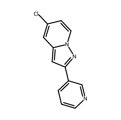 Clc1ccn2nc(-c3cccnc3)cc2c1